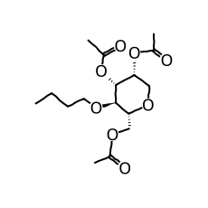 CCCCO[C@H]1[C@H](OC(C)=O)[C@H](OC(C)=O)CO[C@@H]1COC(C)=O